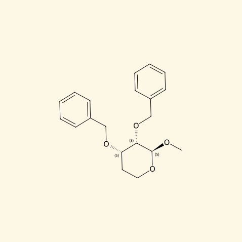 CO[C@H]1OCC[C@H](OCc2ccccc2)[C@@H]1OCc1ccccc1